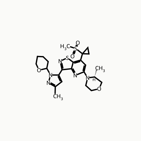 Cc1cc(-c2nsc3c(C4(S(C)(=O)=O)CC4)cc(N4CCOC[C@H]4C)nc23)n(C2CCCCO2)n1